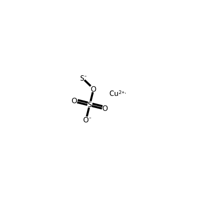 O=S(=O)([O-])O[S-].[Cu+2]